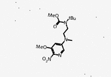 COC(=O)N(CCN(C)c1cnc([N+](=O)[O-])c(OC)c1)C(C)(C)C